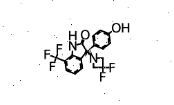 O=C1Nc2c(C(F)(F)F)cccc2[C@@]1(c1ccc(O)cc1)N1CC(F)(F)C1